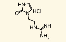 Cl.N=C(N)NCCn1cc[nH]c1=O